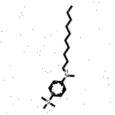 CCCCCCCCCC[SiH](C)c1ccc([Si](C)(C)C)cc1